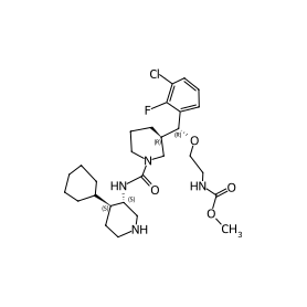 COC(=O)NCCO[C@@H](c1cccc(Cl)c1F)[C@@H]1CCCN(C(=O)N[C@@H]2CNCC[C@H]2C2CCCCC2)C1